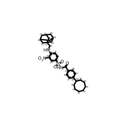 O=C(NS(=O)(=O)c1ccc(NCC23CC4CC(CC(C4)C2)C3)c([N+](=O)[O-])c1)c1ccc(C2CCCCCCC2)cc1